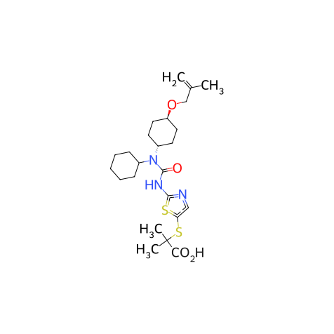 C=C(C)CO[C@H]1CC[C@H](N(C(=O)Nc2ncc(SC(C)(C)C(=O)O)s2)C2CCCCC2)CC1